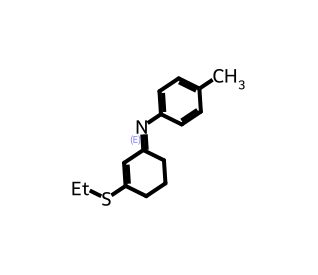 CCSC1=C/C(=N/c2ccc(C)cc2)CCC1